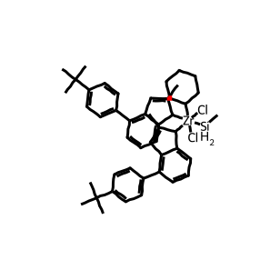 C[SiH2][Zr]([Cl])([Cl])([CH]1CCCCC1)([CH]1C(C)=Cc2c(-c3ccc(C(C)(C)C)cc3)cccc21)[CH]1C(C)=Cc2c(-c3ccc(C(C)(C)C)cc3)cccc21